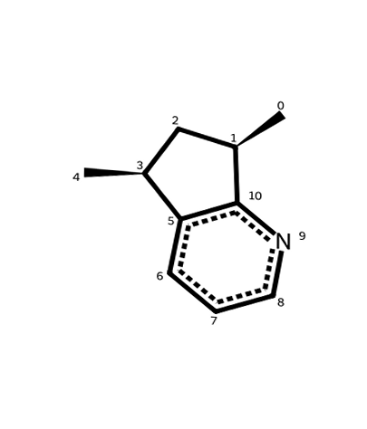 C[C@@H]1C[C@H](C)c2cccnc21